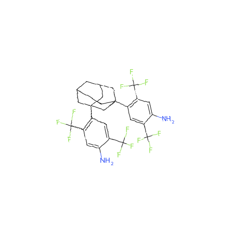 Nc1cc(C(F)(F)F)c(C23CC4CC(C2)CC(c2cc(C(F)(F)F)c(N)cc2C(F)(F)F)(C4)C3)cc1C(F)(F)F